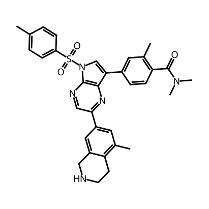 Cc1ccc(S(=O)(=O)n2cc(-c3ccc(C(=O)N(C)C)c(C)c3)c3nc(-c4cc(C)c5c(c4)CNCC5)cnc32)cc1